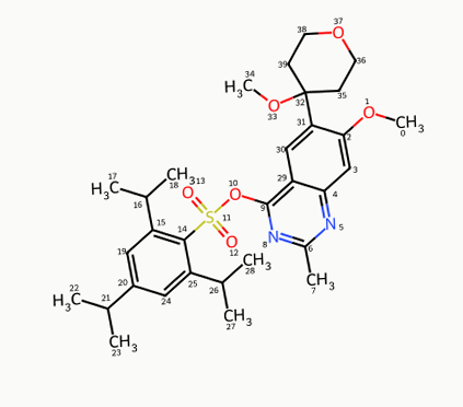 COc1cc2nc(C)nc(OS(=O)(=O)c3c(C(C)C)cc(C(C)C)cc3C(C)C)c2cc1C1(OC)CCOCC1